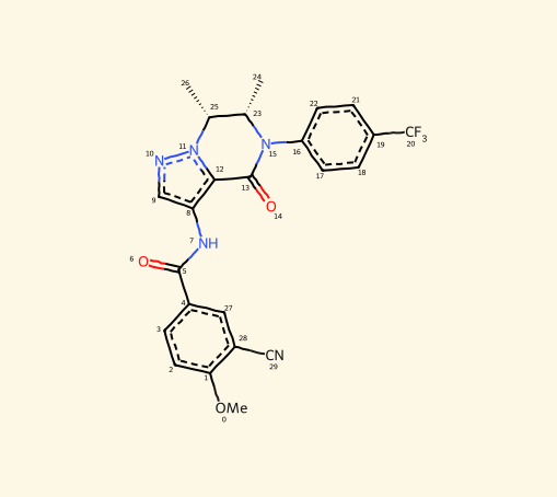 COc1ccc(C(=O)Nc2cnn3c2C(=O)N(c2ccc(C(F)(F)F)cc2)[C@@H](C)[C@H]3C)cc1C#N